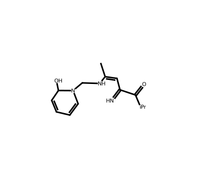 C/C(=C/C(=N)C(=O)C(C)C)NCN1C=CC=CC1O